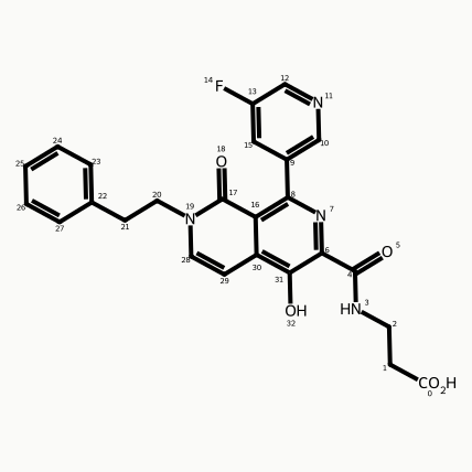 O=C(O)CCNC(=O)c1nc(-c2cncc(F)c2)c2c(=O)n(CCc3ccccc3)ccc2c1O